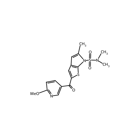 COc1ccc(C(=O)c2cc3cc(C)n(S(=O)(=O)N(C)C)c3s2)cn1